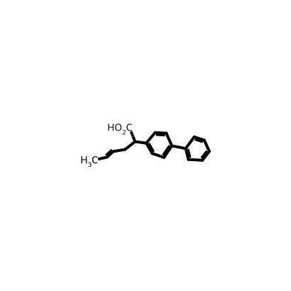 CC=CCC(C(=O)O)c1ccc(-c2ccccc2)cc1